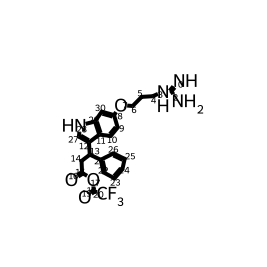 N=C(N)NCCCOc1ccc2c(C(CC(=O)OC(=O)C(F)(F)F)c3ccccc3)c[nH]c2c1